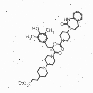 CCOC(=O)CCC1CCN(C2CCN(C(=O)[C@@H](Cc3cc(C)c(O)c(C)c3)OC(=O)N3CCC(N4CCc5ccccc5NC4=O)CC3)CC2)CC1